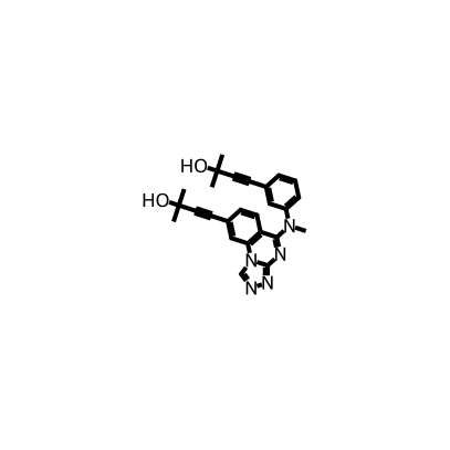 CN(c1cccc(C#CC(C)(C)O)c1)c1nc2nncn2c2cc(C#CC(C)(C)O)ccc12